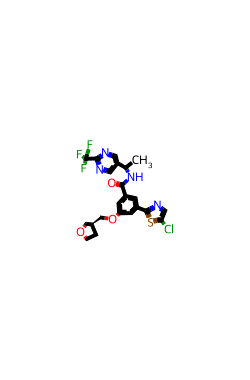 CC(NC(=O)c1cc(OC[C@H]2CCOC2)cc(-c2ncc(Cl)s2)c1)c1cnc(C(F)(F)F)nc1